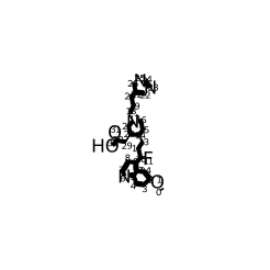 COc1ccc2nccc([C@H](F)CC[C@@H]3CCN(CCCc4cncnc4)C[C@@H]3CC(=O)O)c2c1